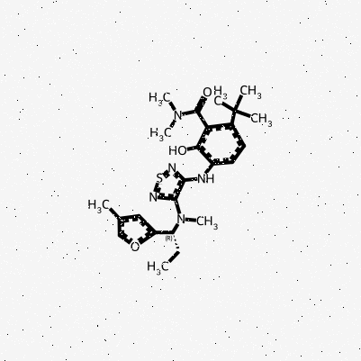 CC[C@H](c1cc(C)co1)N(C)c1nsnc1Nc1ccc(C(C)(C)C)c(C(=O)N(C)C)c1O